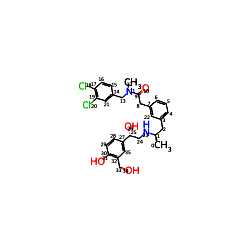 C[C@H](Cc1cccc(CC(=O)N(C)Cc2ccc(Cl)c(Cl)c2)c1)NC[C@@H](O)c1ccc(O)c(CO)c1